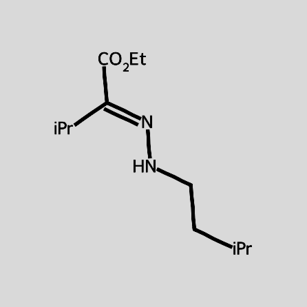 CCOC(=O)C(=NNCCC(C)C)C(C)C